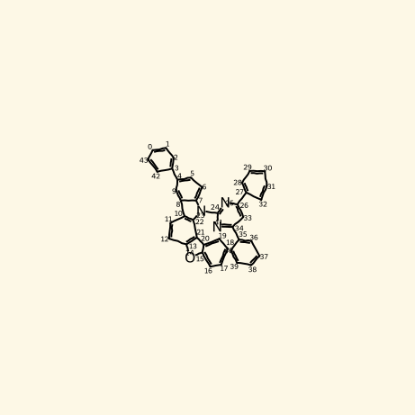 c1ccc(-c2ccc3c(c2)c2ccc4oc5ccccc5c4c2n3-c2nc(-c3ccccc3)cc(-c3ccccc3)n2)cc1